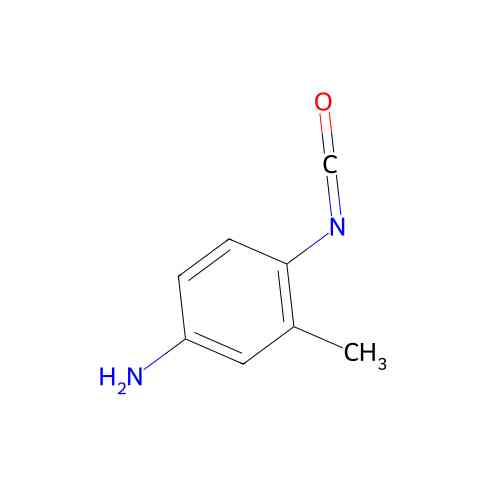 Cc1cc(N)ccc1N=C=O